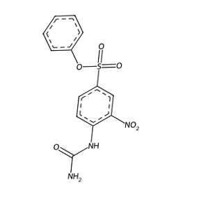 NC(=O)Nc1ccc(S(=O)(=O)Oc2ccccc2)cc1[N+](=O)[O-]